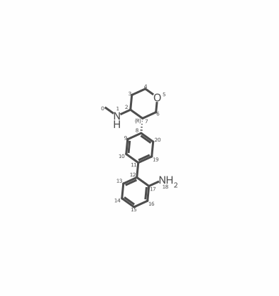 CNC1CCOC[C@@H]1c1ccc(-c2ccccc2N)cc1